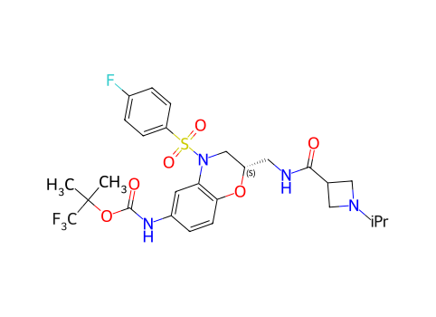 CC(C)N1CC(C(=O)NC[C@H]2CN(S(=O)(=O)c3ccc(F)cc3)c3cc(NC(=O)OC(C)(C)C(F)(F)F)ccc3O2)C1